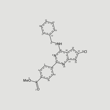 COC(=O)c1ccc(-c2nc(NCc3ccccc3)c3cc(Cl)sc3n2)cc1